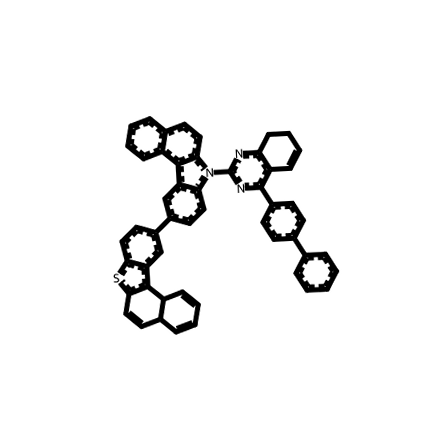 C1=CC2C=Cc3sc4ccc(-c5ccc6c(c5)c5c7ccccc7ccc5n6-c5nc6c(c(-c7ccc(-c8ccccc8)cc7)n5)C=CCC6)cc4c3C2C=C1